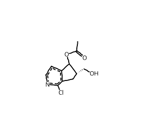 CC(=O)OC1c2ccnc(Cl)c2C[C@H]1CO